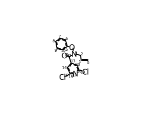 C=CCN(Oc1ccccc1)C(=O)c1cc(Cl)nc(Cl)c1